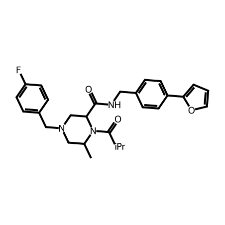 CC(C)C(=O)N1C(C)CN(Cc2ccc(F)cc2)CC1C(=O)NCc1ccc(-c2ccco2)cc1